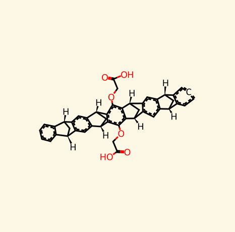 O=C(O)COc1c2c(c(OCC(=O)O)c3c1[C@H]1C[C@@H]3c3cc4c(cc31)[C@H]1C[C@@H]4c3ccccc31)[C@H]1C[C@@H]2c2cc3c(cc21)[C@H]1C[C@@H]3c2ccccc21